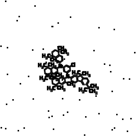 Cc1cc2c(cc1N(c1cc(Cl)cc(N(c3ccc4c(c3)C(C)(C)CCC4(C)C)c3ccc4c(c3)C(C)(C)CCC4(C)C)c1)c1ccc3c(c1)C(C)(C)c1ccc(C(C)(C)C)cc1-3)C(C)(C)CCC2(C)C